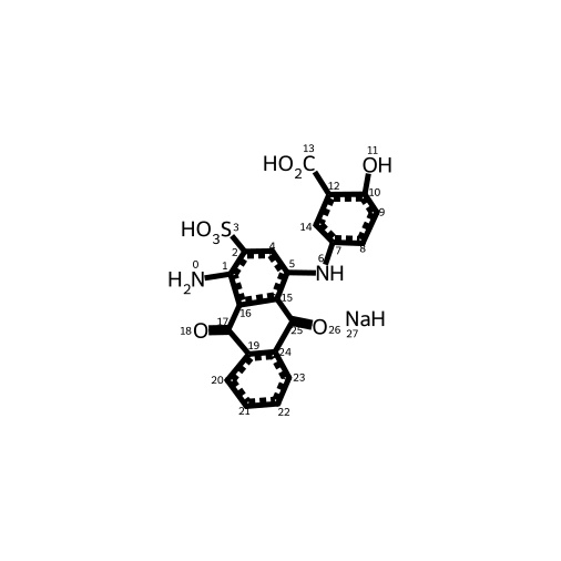 Nc1c(S(=O)(=O)O)cc(Nc2ccc(O)c(C(=O)O)c2)c2c1C(=O)c1ccccc1C2=O.[NaH]